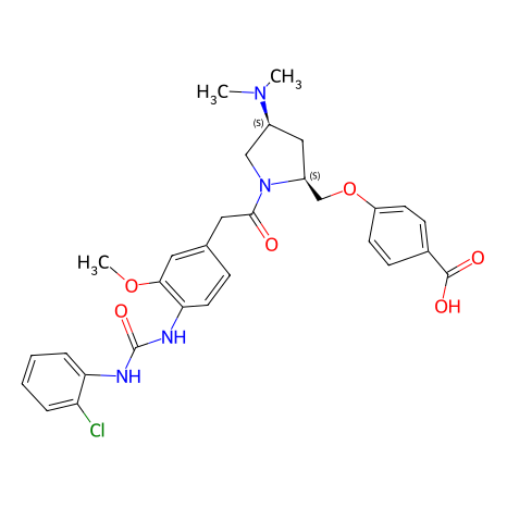 COc1cc(CC(=O)N2C[C@@H](N(C)C)C[C@H]2COc2ccc(C(=O)O)cc2)ccc1NC(=O)Nc1ccccc1Cl